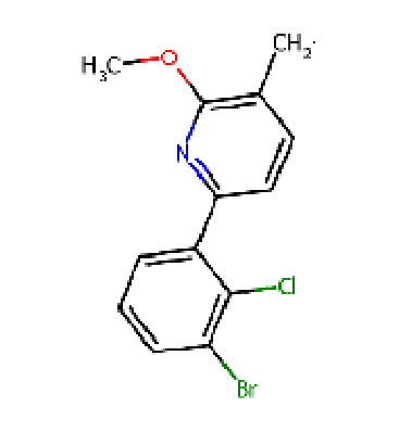 [CH2]c1ccc(-c2cccc(Br)c2Cl)nc1OC